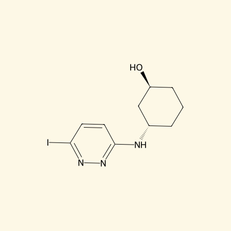 O[C@H]1CCC[C@H](Nc2ccc(I)nn2)C1